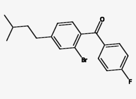 CC(C)CCc1ccc(C(=O)c2ccc(F)cc2)c(Br)c1